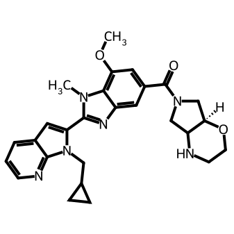 COc1cc(C(=O)N2CC3NCCO[C@@H]3C2)cc2nc(-c3cc4cccnc4n3CC3CC3)n(C)c12